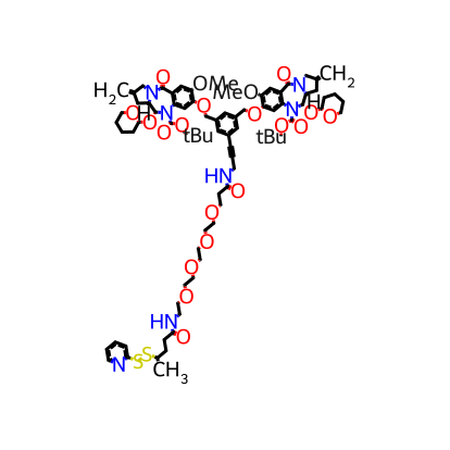 C=C1C[C@H]2[C@H](OC3CCCCO3)N(C(=O)OC(C)(C)C)c3cc(OCc4cc(C#CCNC(=O)CCOCCOCCOCCOCCNC(=O)CCC(C)SSc5ccccn5)cc(COc5cc6c(cc5OC)C(=O)N5CC(=C)C[C@H]5[C@H](OC5CCCCO5)N6C(=O)OC(C)(C)C)c4)c(OC)cc3C(=O)N2C1